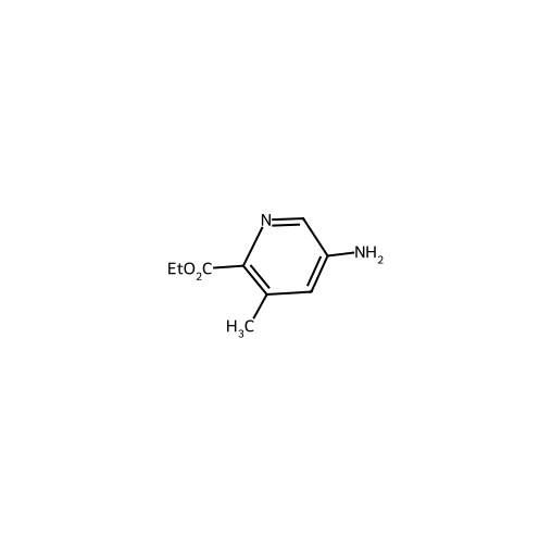 CCOC(=O)c1ncc(N)cc1C